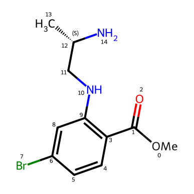 COC(=O)c1ccc(Br)cc1NC[C@H](C)N